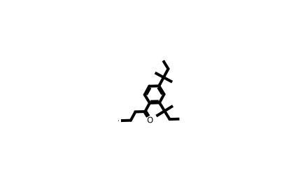 [CH2]CCC(=O)c1ccc(C(C)(C)CC)cc1C(C)(C)CC